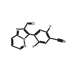 N#Cc1cc(F)c(-c2c(C=O)nc3cccnn23)cc1F